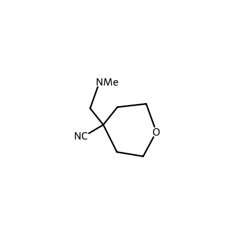 CNCC1(C#N)CCOCC1